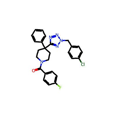 O=C(c1ccc(F)cc1)N1CCC(c2ccccc2)(c2nnn(Cc3ccc(Cl)cc3)n2)CC1